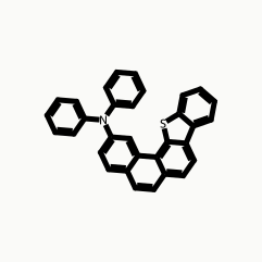 c1ccc(N(c2ccccc2)c2ccc3ccc4ccc5c6ccccc6sc5c4c3c2)cc1